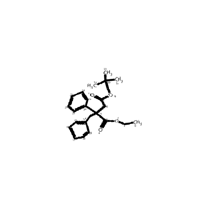 CCOC(=O)C(CC(=O)OC(C)(C)C)(c1ccccc1)c1ccccc1